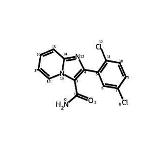 NC(=O)c1c(-c2cc(Cl)ccc2Cl)nc2ccccn12